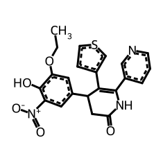 CCOc1cc(C2CC(=O)NC(c3cccnc3)=C2c2ccsc2)cc([N+](=O)[O-])c1O